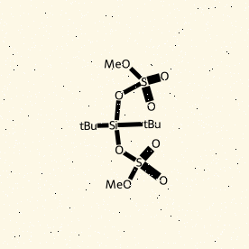 COS(=O)(=O)O[Si](OS(=O)(=O)OC)(C(C)(C)C)C(C)(C)C